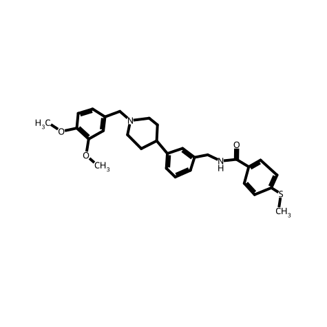 COc1ccc(CN2CCC(c3cccc(CNC(=O)c4ccc(SC)cc4)c3)CC2)cc1OC